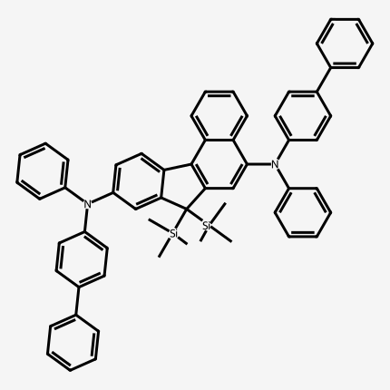 C[Si](C)(C)C1([Si](C)(C)C)c2cc(N(c3ccccc3)c3ccc(-c4ccccc4)cc3)ccc2-c2c1cc(N(c1ccccc1)c1ccc(-c3ccccc3)cc1)c1ccccc21